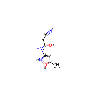 Cc1cc(NC(=O)CC#N)no1